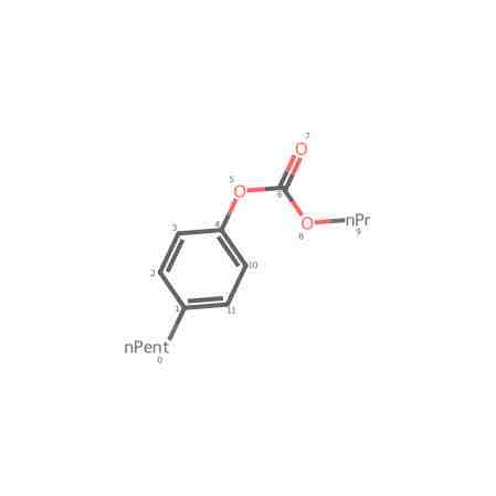 CCCCCc1ccc(OC(=O)OCCC)cc1